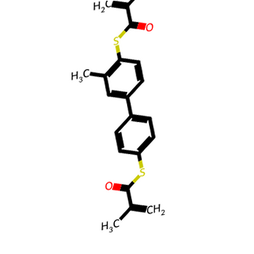 C=C(C)C(=O)Sc1ccc(-c2ccc(SC(=O)C(=C)C)c(C)c2)cc1